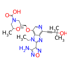 CCn1c(-c2nonc2N)nc2c(C#CC(C)(C)O)ncc(OC[C@@H]3CN(C(=O)O)CC(C)O3)c21